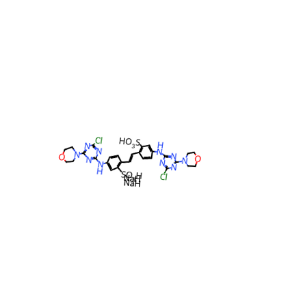 O=S(=O)(O)c1cc(Nc2nc(Cl)nc(N3CCOCC3)n2)ccc1C=Cc1ccc(Nc2nc(Cl)nc(N3CCOCC3)n2)cc1S(=O)(=O)O.[NaH].[NaH]